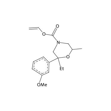 C=COC(=O)N1CC(C)OC(CC)(c2cccc(OC)c2)C1